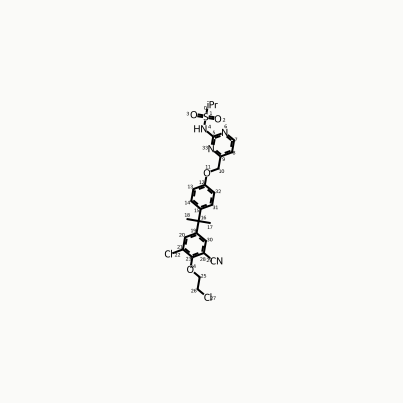 CC(C)S(=O)(=O)Nc1nccc(COc2ccc(C(C)(C)c3cc(Cl)c(OCCCl)c(C#N)c3)cc2)n1